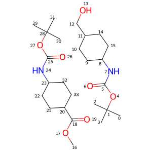 CC(C)(C)OC(=O)NC1CCC(CO)CC1.COC(=O)C1CCC(NC(=O)OC(C)(C)C)CC1